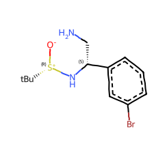 CC(C)(C)[S@+]([O-])N[C@H](CN)c1cccc(Br)c1